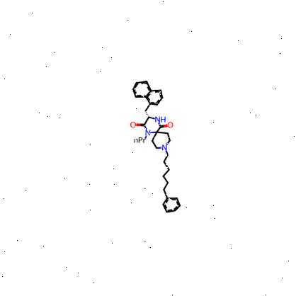 CCCN1C(=O)[C@H](Cc2cccc3ccccc23)NC(=O)C12CCN(CCCCCCc1ccccc1)CC2